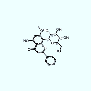 COc1cc(O)c2c(=O)cc(-c3ccccc3)oc2c1[C@@H]1O[C@H](CO)[C@@H](O)[C@H](O)[C@H]1O